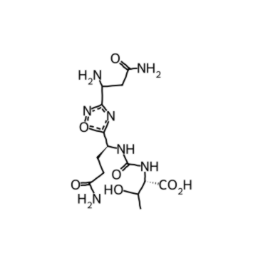 CC(O)[C@H](NC(=O)N[C@@H](CCC(N)=O)c1nc(C(N)CC(N)=O)no1)C(=O)O